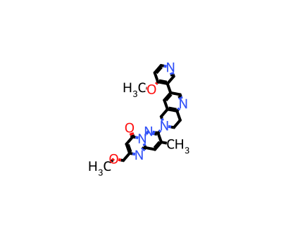 COCc1cc(=O)n2nc(N3CCc4ncc(-c5cnccc5OC)cc4C3)c(C)cc2n1